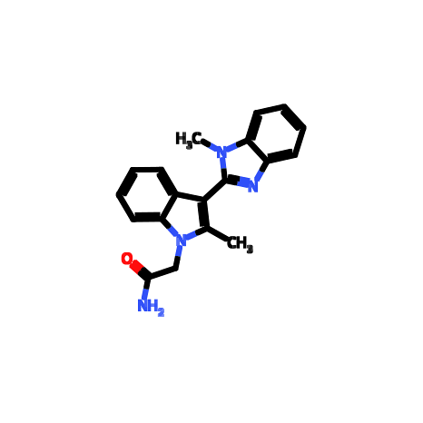 Cc1c(-c2nc3ccccc3n2C)c2ccccc2n1CC(N)=O